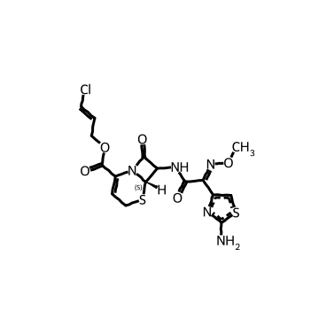 CON=C(C(=O)NC1C(=O)N2C(C(=O)OCC=CCl)=CCS[C@@H]12)c1csc(N)n1